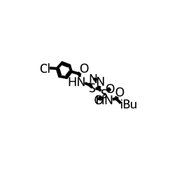 CCC(C)C(=O)NS(=O)(=O)c1nnc(NC(=O)c2ccc(Cl)cc2)s1